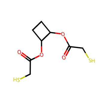 O=C(CS)OC1CCC1OC(=O)CS